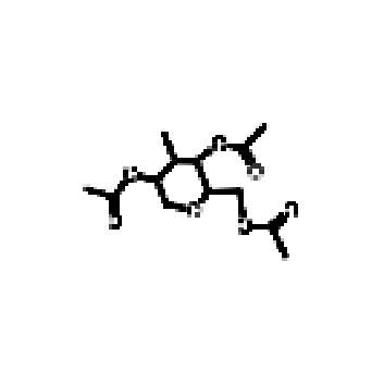 CC(=O)OCC1OCC(OC(C)=O)C(C)C1OC(C)=O